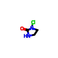 O=C1NCCN1Cl